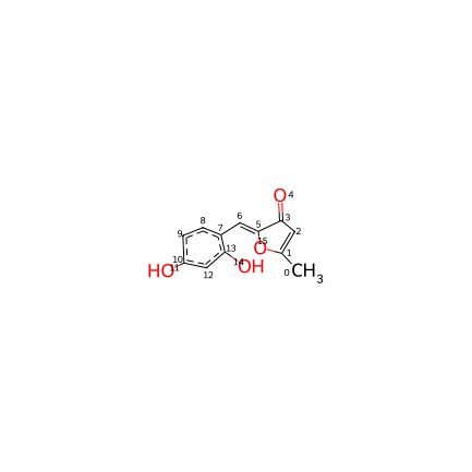 CC1=CC(=O)C(=Cc2ccc(O)cc2O)O1